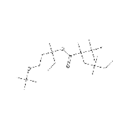 CCC(C)(C)CC(C)(C(=O)OC(C)(CC)CCOC(C)(C)C)C(C)(C)C